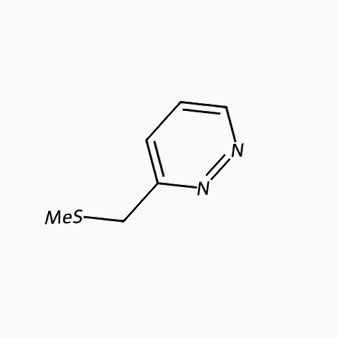 [CH2]SCc1cccnn1